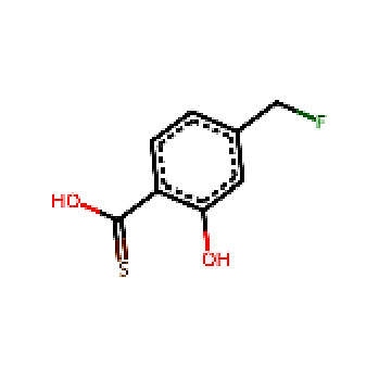 OC(=S)c1ccc(CF)cc1O